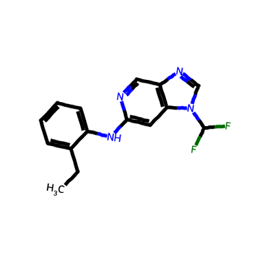 CCc1ccccc1Nc1cc2c(cn1)ncn2C(F)F